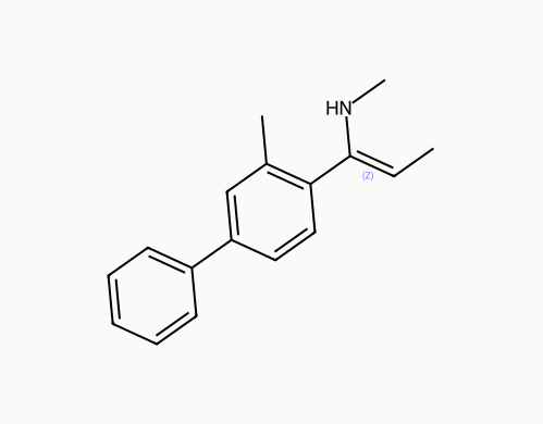 C/C=C(\NC)c1ccc(-c2ccccc2)cc1C